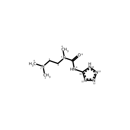 CN(C)CCN(C)C(=O)Nc1nnn[nH]1